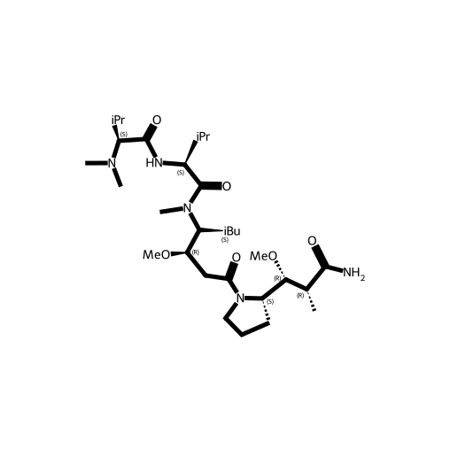 CC[C@H](C)C([C@@H](CC(=O)N1CCC[C@H]1[C@H](OC)[C@@H](C)C(N)=O)OC)N(C)C(=O)[C@@H](NC(=O)[C@H](C(C)C)N(C)C)C(C)C